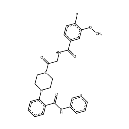 COc1cc(C(=O)NCC(=O)N2CCN(c3ccccc3C(=O)Nc3cccnc3)CC2)ccc1F